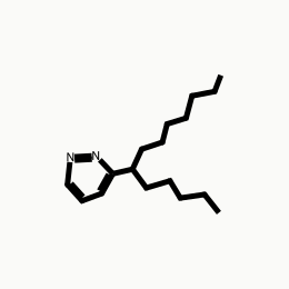 CCCCCCCC(CCCCC)c1cccnn1